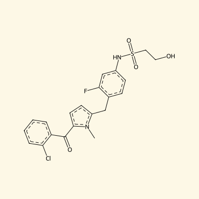 Cn1c(Cc2ccc(NS(=O)(=O)CCO)cc2F)ccc1C(=O)c1ccccc1Cl